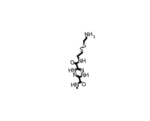 CNC(=O)C1=NNC(C(=O)NCCSSCCN)=NN1